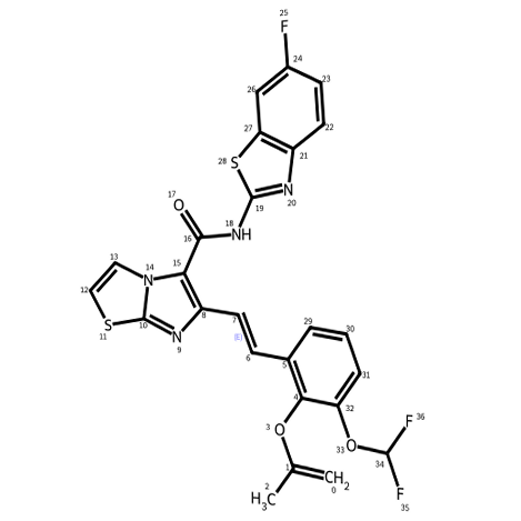 C=C(C)Oc1c(/C=C/c2nc3sccn3c2C(=O)Nc2nc3ccc(F)cc3s2)cccc1OC(F)F